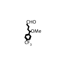 COC(CCCC=O)c1ccc(C(F)(F)F)cc1